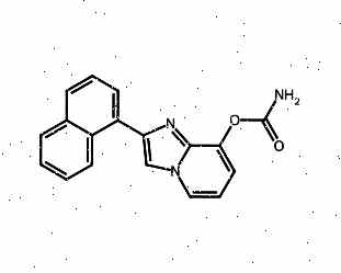 NC(=O)Oc1cccn2cc(-c3cccc4ccccc34)nc12